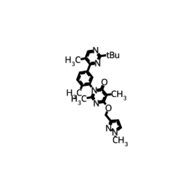 Cc1ccc(-c2nc(C(C)(C)C)ncc2C)cc1-n1c(C)nc(OCc2ccn(C)n2)c(C)c1=O